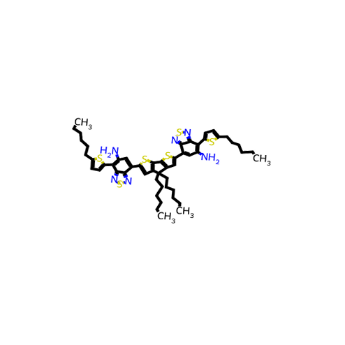 CCCCCCc1ccc(-c2c(N)cc(-c3cc4c(s3)-c3sc(-c5cc(N)c(-c6ccc(CCCCCC)s6)c6nsnc56)cc3C4(CCCCCC)CCCCCC)c3nsnc23)s1